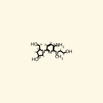 CN(CCO)c1nc(N2CC(O)CC2CO)ccc1N